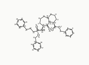 O=C(OCc1ccccc1)[C@@H]1CCCN2CCC[C@H](NP(=O)(CCCc3ccccc3)OCc3ccccc3)C(=O)N12